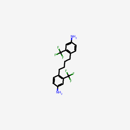 Nc1ccc(CCCCc2ccc(N)cc2C(F)(F)F)c(C(F)(F)F)c1